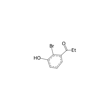 CCC(=O)c1cccc(O)c1Br